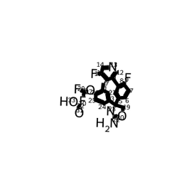 Cc1cc(C2(c3ccc(F)c(-c4cncc(F)c4)c3)COC(N)=N2)ccc1OC(F)F.O=CO